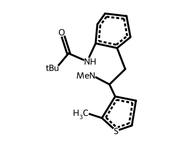 CNC(Cc1ccccc1NC(=O)C(C)(C)C)c1ccsc1C